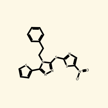 O=[N+]([O-])c1cnc(Sc2nnc(-c3cccs3)n2CCc2ccccc2)s1